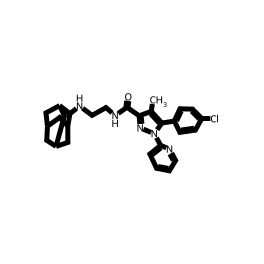 Cc1c(C(=O)NCCNC2C3CC4CC(C3)CC2C4)nn(-c2ccccn2)c1-c1ccc(Cl)cc1